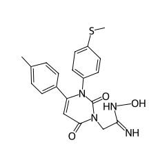 CSc1ccc(-n2c(-c3ccc(C)cc3)cc(=O)n(CC(=N)NO)c2=O)cc1